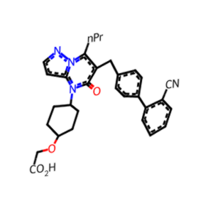 CCCc1c(Cc2ccc(-c3ccccc3C#N)cc2)c(=O)n(C2CCC(OCC(=O)O)CC2)c2ccnn12